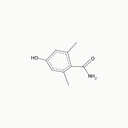 Cc1cc(O)cc(C)c1C(N)=O